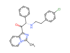 Cc1nc(C(=O)[C@@H](NCCc2ccc(Cl)cc2)c2ccccc2)c2ccccn12